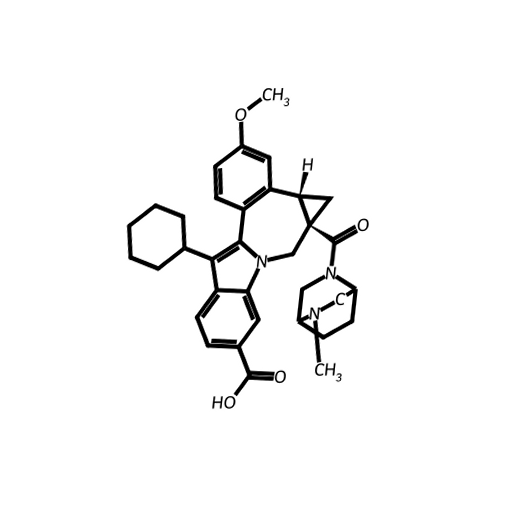 COc1ccc2c(c1)[C@@H]1C[C@]1(C(=O)N1CC3CCC1CN3C)Cn1c-2c(C2CCCCC2)c2ccc(C(=O)O)cc21